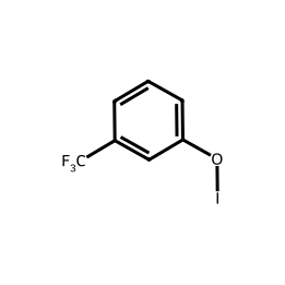 FC(F)(F)c1cccc(OI)c1